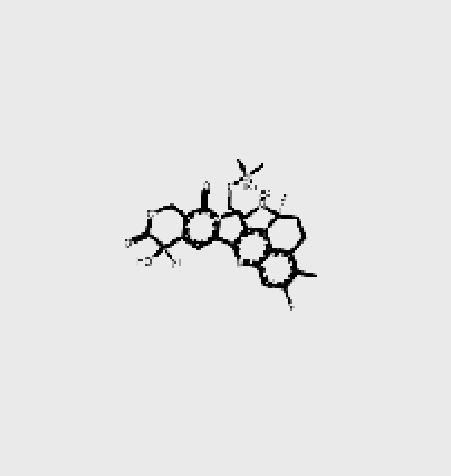 CC[C@@]1(O)C(=O)OCc2c1cc1n(c2=O)Cc2c-1nc1cc(F)c(C)c3c1c2[C@@](C)(N(CCO[Si](C)(C)C(C)(C)C)C(C)=O)CC3